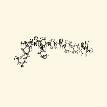 O=C1CCC(c2ccc(C3CCN(CC(=O)N4CCN(c5ccc(C(=O)Nc6n[nH]c7ccc(Cc8cc(F)cc(F)c8)cc67)c(NC6CCOCC6)c5)CC4)CC3)cc2)C(=O)N1